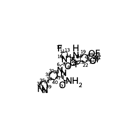 NC(=O)c1nn(CC(=O)N2CC(F)CC2C(=O)Nc2cc3c(cc2F)OC(F)(F)O3)c2ccc(-c3ccnnc3)cc12